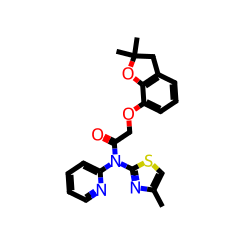 Cc1csc(N(C(=O)COc2cccc3c2OC(C)(C)C3)c2ccccn2)n1